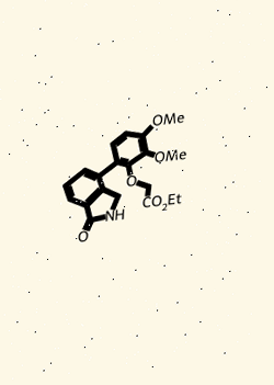 CCOC(=O)COc1c(-c2cccc3c2CNC3=O)ccc(OC)c1OC